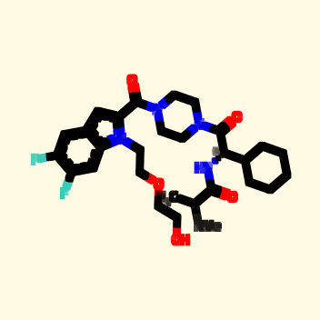 CNC(C)C(=O)N[C@H](C(=O)N1CCN(C(=O)c2cc3cc(F)c(F)cc3n2CCOCCO)CC1)C1CCCCC1